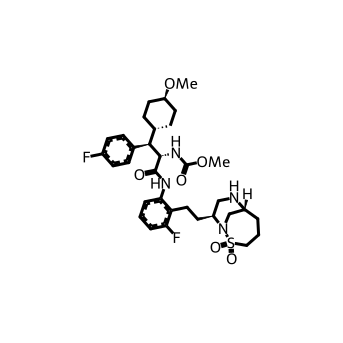 COC(=O)N[C@H](C(=O)Nc1cccc(F)c1CC[C@H]1CN[C@@H]2CCCS(=O)(=O)N1C2)[C@@H](c1ccc(F)cc1)[C@H]1CC[C@H](OC)CC1